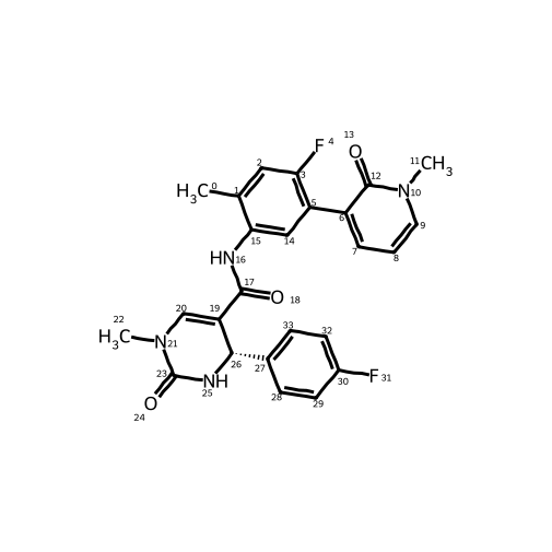 Cc1cc(F)c(-c2cccn(C)c2=O)cc1NC(=O)C1=CN(C)C(=O)N[C@H]1c1ccc(F)cc1